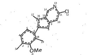 COc1c(C)ccc(-c2cc3cc(Cl)ncc3n2C)c1C